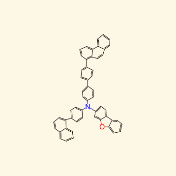 c1ccc2c(-c3ccc(N(c4ccc(-c5ccc(-c6cccc7c6ccc6ccccc67)cc5)cc4)c4ccc5c(c4)oc4ccccc45)cc3)cccc2c1